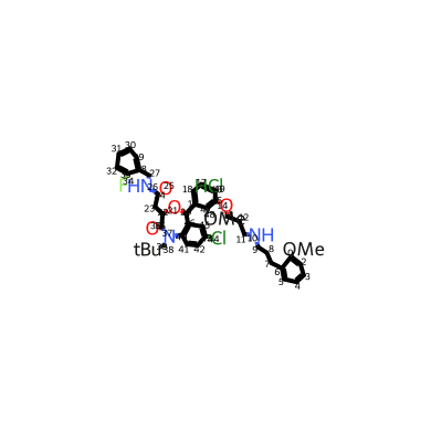 COc1ccccc1CCCNCCCOc1cccc(C2OC(CC(=O)NCc3ccccc3F)C(=O)N(CC(C)(C)C)c3ccc(Cl)cc32)c1OC.Cl